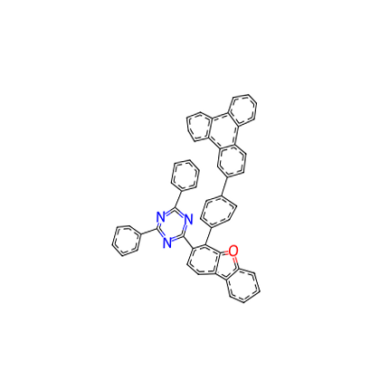 c1ccc(-c2nc(-c3ccccc3)nc(-c3ccc4c(oc5ccccc54)c3-c3ccc(-c4ccc5c6ccccc6c6ccccc6c5c4)cc3)n2)cc1